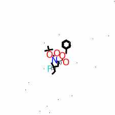 CC[C@]1(F)C[C@@H](C(=O)OCc2ccccc2)N(C(=O)OC(C)(C)C)C1